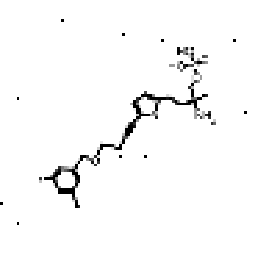 Cc1cc(C)cc(COCCC#Cc2ccc(CCC(C)(N)COP(=O)(O)O)s2)c1